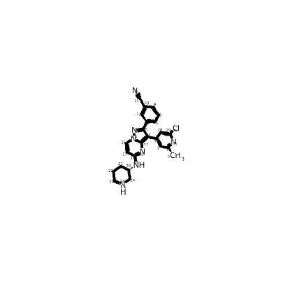 Cc1cc(-c2c(-c3cccc(C#N)c3)nn3ccc(N[C@H]4CCCNC4)nc23)cc(Cl)n1